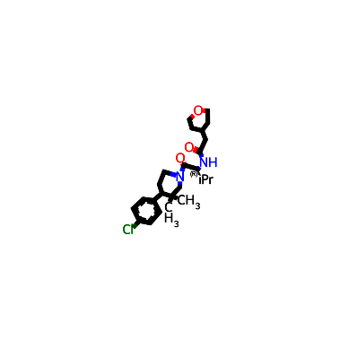 CC(C)[C@@H](NC(=O)CC1CCOCC1)C(=O)N1CCC(c2ccc(Cl)cc2)C(C)(C)C1